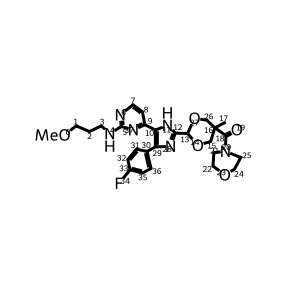 COCCCNc1nccc(-c2[nH]c(C3OCC(C)(C(=O)N4CCOCC4)CO3)nc2-c2ccc(F)cc2)n1